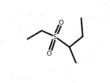 [CH2]C(CC)S(=O)(=O)CC